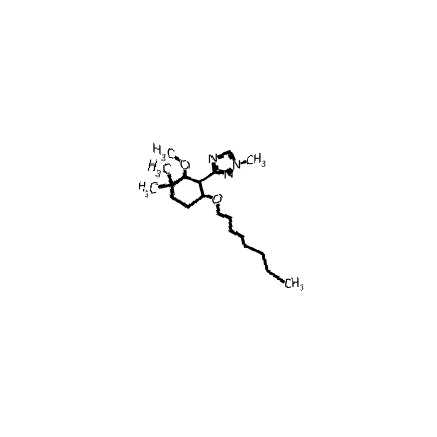 CCCCCCCCOC1CCC(C)(C)C(OC)C1c1ncn(C)n1